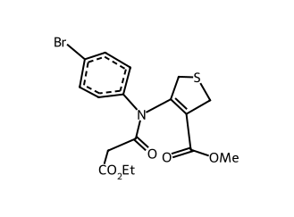 CCOC(=O)CC(=O)N(C1=C(C(=O)OC)CSC1)c1ccc(Br)cc1